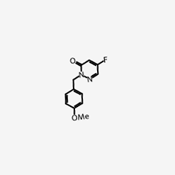 COc1ccc(Cn2ncc(F)cc2=O)cc1